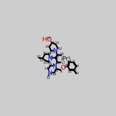 Cc1ccc(C(C)C)c(OCC2CN(C)CCN2C(C)C(C(C)N2CCC(O)CC2)N2CCC(C)CC2)c1